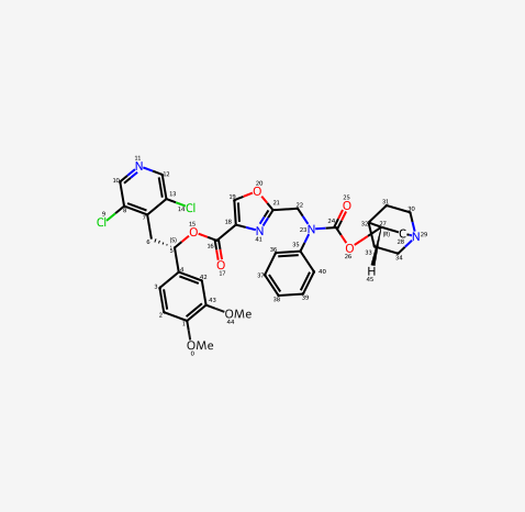 COc1ccc([C@H](Cc2c(Cl)cncc2Cl)OC(=O)c2coc(CN(C(=O)O[C@H]3CN4CCC3CC4)c3ccccc3)n2)cc1OC